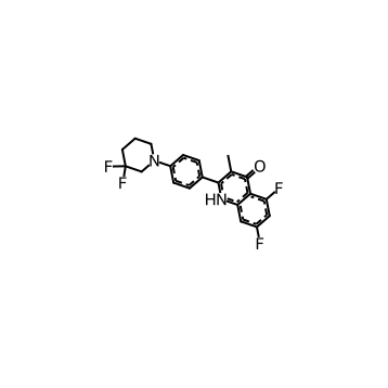 Cc1c(-c2ccc(N3CCCC(F)(F)C3)cc2)[nH]c2cc(F)cc(F)c2c1=O